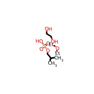 CC(C)COS(=O)(=O)O.CCOCC.OCCO